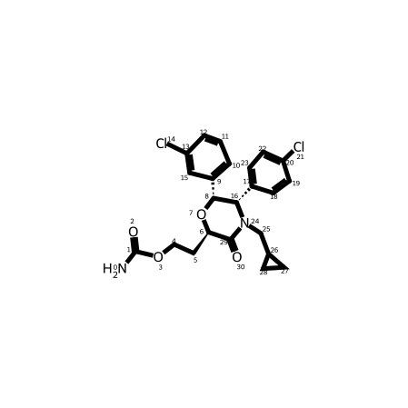 NC(=O)OCC[C@H]1O[C@H](c2cccc(Cl)c2)[C@H](c2ccc(Cl)cc2)N(CC2CC2)C1=O